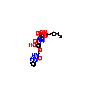 CCCCOC(=O)N[C@@H](CNC(=O)c1ccc(OCCNC(=O)NCc2ccccc2)cc1O)C(=O)O